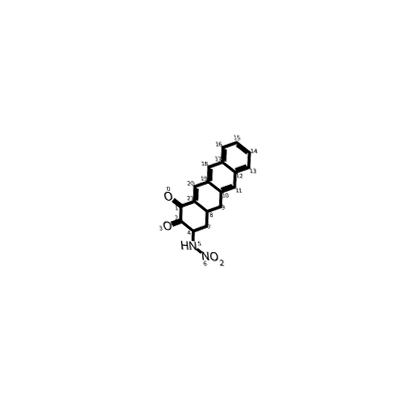 O=C1C(=O)C(N[N+](=O)[O-])CC2Cc3cc4ccccc4cc3C=C12